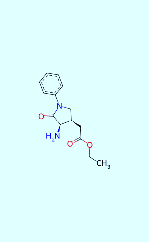 CCOC(=O)C[C@@H]1CN(c2ccccc2)C(=O)[C@@H]1N